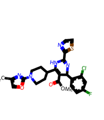 CCOC(=O)c1coc(N2CCC(C3=C(C(=O)OC)C(c4ccc(F)cc4Cl)N=C(c4nccs4)N3)CC2)n1